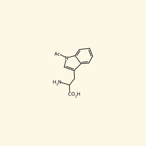 CC(=O)n1cc(CC(N)C(=O)O)c2ccccc21